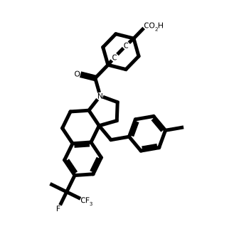 Cc1ccc(CC23CCN(C(=O)C45CCC(C(=O)O)(CC4)CC5)C2CCc2cc(C(C)(F)C(F)(F)F)ccc23)cc1